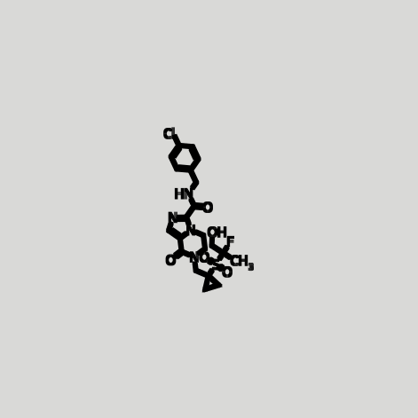 CC(F)(CO)S(=O)(=O)C1(CN2CCn3c(cnc3C(=O)NCc3ccc(Cl)cc3)C2=O)CC1